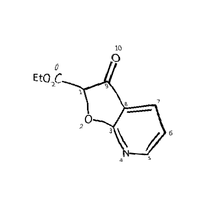 CCOC(=O)C1Oc2ncccc2C1=O